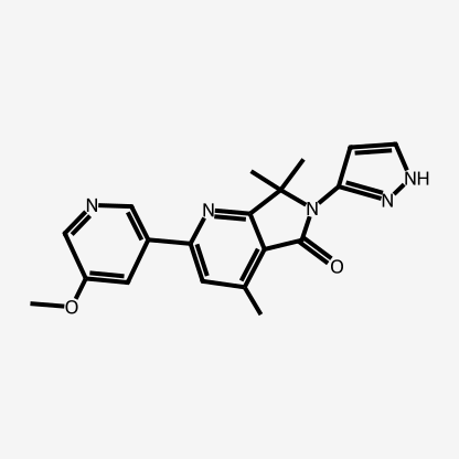 COc1cncc(-c2cc(C)c3c(n2)C(C)(C)N(c2cc[nH]n2)C3=O)c1